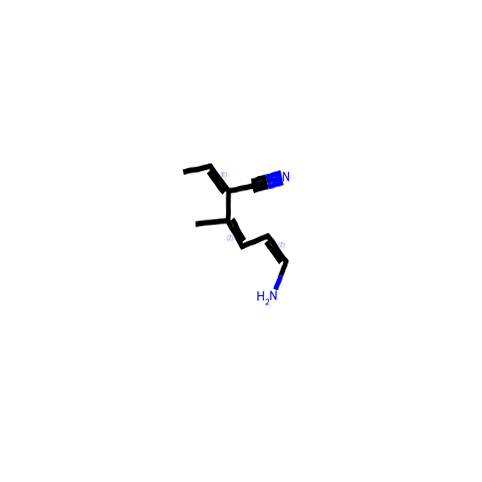 C\C=C(C#N)/C(C)=C\C=C/N